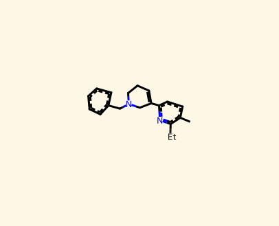 CCc1nc(C2=CCCN(Cc3ccccc3)C2)ccc1C